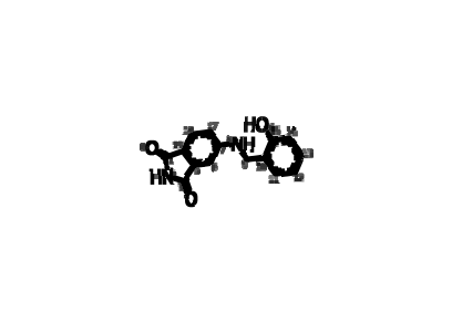 O=C1NC(=O)c2cc(NCc3ccccc3O)ccc21